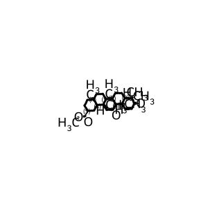 COC(=O)[C@H]1CC[C@]2(C)CC[C@]3(C)C(=CC(=O)[C@@H]4[C@@]5(C)C=CC(=O)C(C)(C)[C@@H]5CC[C@]43C)[C@@H]2C1